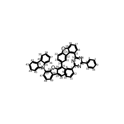 c1ccc(-c2nc(-c3ccccc3)nc(-c3cccc4oc5ccc(-c6cccc7c6oc6c(-n8c9ccccc9c9ccccc98)cccc67)cc5c34)n2)cc1